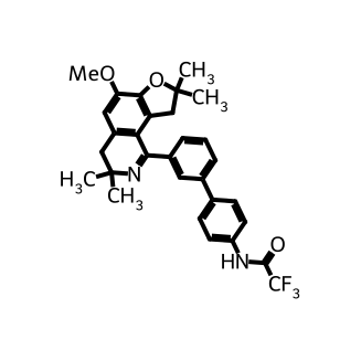 COc1cc2c(c3c1OC(C)(C)C3)C(c1cccc(-c3ccc(NC(=O)C(F)(F)F)cc3)c1)=NC(C)(C)C2